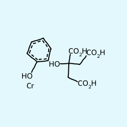 O=C(O)CC(O)(CC(=O)O)C(=O)O.Oc1ccccc1.[Cr]